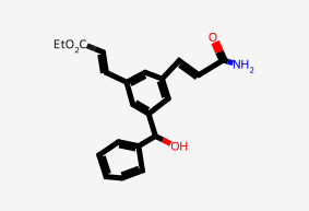 CCOC(=O)C=Cc1cc(C=CC(N)=O)cc(C(O)c2ccccc2)c1